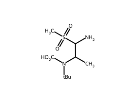 CC(C(N)S(C)(=O)=O)N(C(=O)O)C(C)(C)C